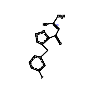 O=C(O)/C(O)=C/C(=O)c1occc1Cc1cccc(F)c1